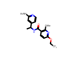 COc1nc(OCC(F)(F)F)ccc1C(=O)NC(C)c1ccnc(NC(C)=O)c1